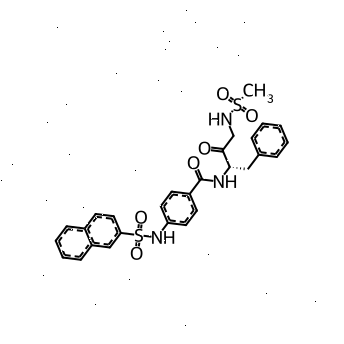 CS(=O)(=O)NCC(=O)[C@H](Cc1ccccc1)NC(=O)c1ccc(NS(=O)(=O)c2ccc3ccccc3c2)cc1